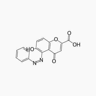 O=C(O)c1cc(=O)c2c(/N=N\c3ccccc3)c(O)ccc2o1